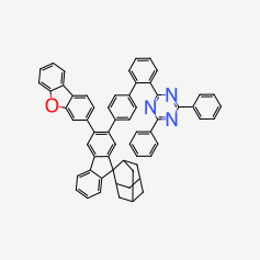 c1ccc(-c2nc(-c3ccccc3)nc(-c3ccccc3-c3ccc(-c4cc5c(cc4-c4ccc6c(c4)oc4ccccc46)-c4ccccc4C54C5CC6CC(C5)CC4C6)cc3)n2)cc1